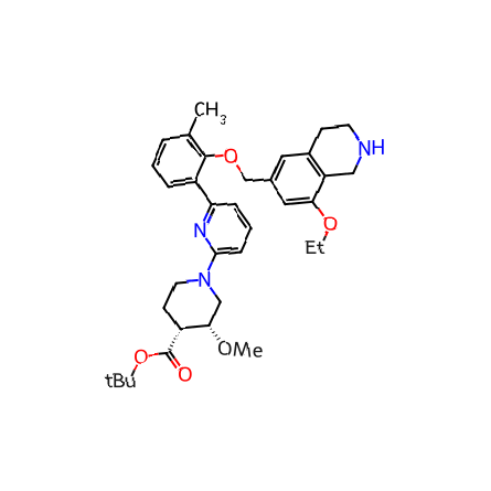 CCOc1cc(COc2c(C)cccc2-c2cccc(N3CC[C@@H](C(=O)OC(C)(C)C)[C@@H](OC)C3)n2)cc2c1CNCC2